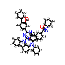 c1ccc(-n2c3ccccc3c3ccc4c5ccccc5n(-c5nc(-c6cccc(-c7nc8ccccc8o7)c6)nc(-c6ccc7c(c6)oc6ccccc67)n5)c4c32)cc1